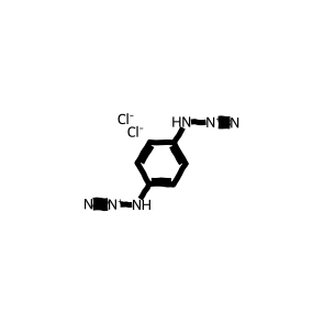 N#[N+]Nc1ccc(N[N+]#N)cc1.[Cl-].[Cl-]